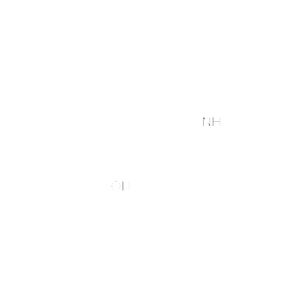 OC1(C2CCCNC2)CCC1